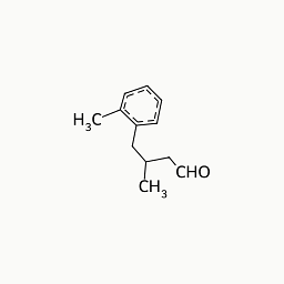 Cc1ccccc1CC(C)CC=O